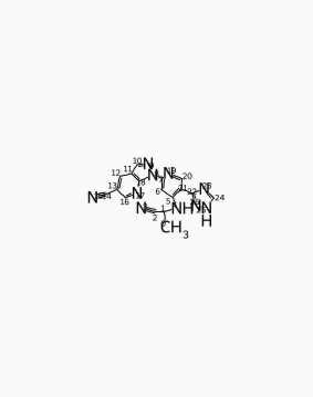 CC(C#N)Nc1cc(-n2ncc3cc(C#N)cnc32)ncc1-c1nc[nH]n1